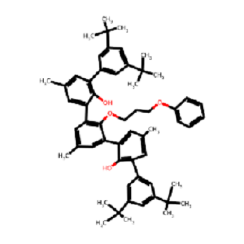 Cc1cc(-c2cc(C(C)(C)C)cc(C(C)(C)C)c2)c(O)c(-c2cc(C)cc(-c3cc(C)cc(-c4cc(C(C)(C)C)cc(C(C)(C)C)c4)c3O)c2OCCCOc2ccccc2)c1